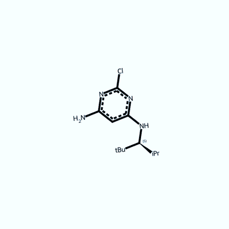 CC(C)[C@H](Nc1cc(N)nc(Cl)n1)C(C)(C)C